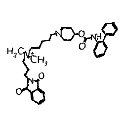 C[N+](C)(CCCCCN1CCC(OC(=O)Nc2ccccc2-c2ccccc2)CC1)CCCN1C(=O)c2ccccc2C1=O